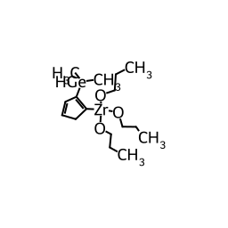 CCC[O][Zr]([O]CCC)([O]CCC)[C]1=[C]([GeH]([CH3])[CH3])C=CC1